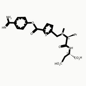 CC(C)[C@@H](C(=O)N[C@@H](CC(=O)O)C(=O)O)N(C)Cc1ccc(C(=O)Oc2ccc(C(=N)N)cc2)s1